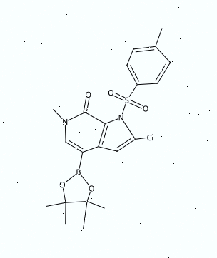 Cc1ccc(S(=O)(=O)n2c(Cl)cc3c(B4OC(C)(C)C(C)(C)O4)cn(C)c(=O)c32)cc1